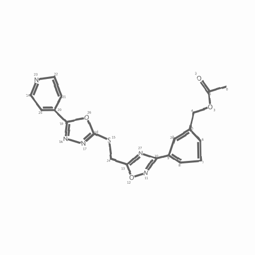 CC(=O)OCc1cccc(-c2noc(CSc3nnc(-c4ccncc4)o3)n2)c1